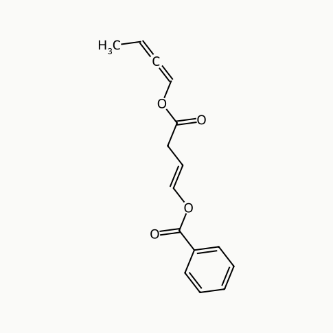 CC=C=COC(=O)CC=COC(=O)c1ccccc1